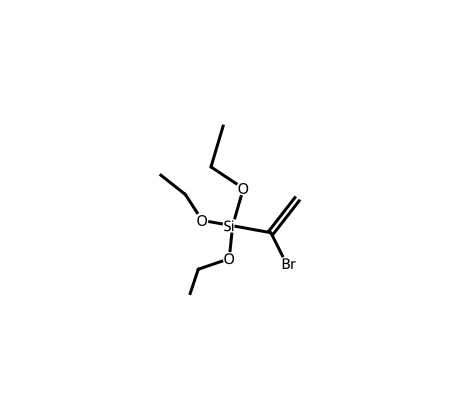 C=C(Br)[Si](OCC)(OCC)OCC